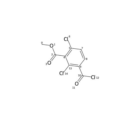 COC(=O)c1c(Cl)ccc(C(=O)Cl)c1Cl